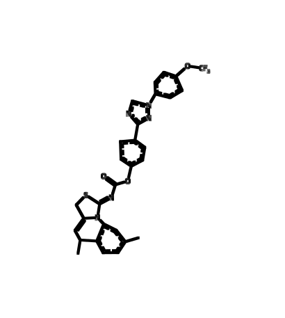 Cc1ccc2c(c1)N1C(=CC2C)CS/C1=N\C(=O)Oc1ccc(-c2ncn(-c3ccc(OC(F)(F)F)cc3)n2)cc1